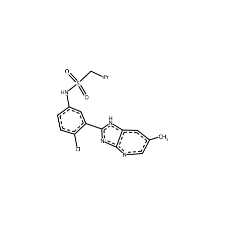 Cc1cnc2nc(-c3cc(NS(=O)(=O)CC(C)C)ccc3Cl)[nH]c2c1